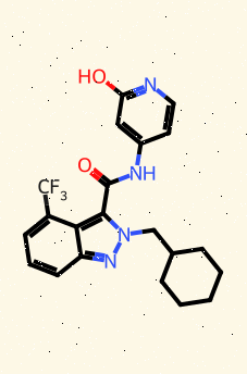 O=C(Nc1ccnc(O)c1)c1c2c(C(F)(F)F)cccc2nn1CC1CCCCC1